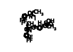 CCc1oc(-c2cccc(C(F)(F)F)c2)nc1CI.CCc1oc(-c2cccc(C(F)(F)F)c2)nc1COC[C@@H]1CCC[C@H](COC(C)(C)C(=O)O)C1